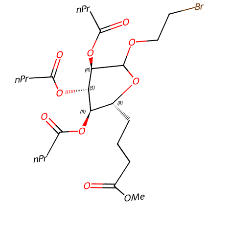 CCCC(=O)O[C@H]1[C@H](OC(=O)CCC)[C@@H](OC(=O)CCC)C(OCCBr)O[C@@H]1CCCC(=O)OC